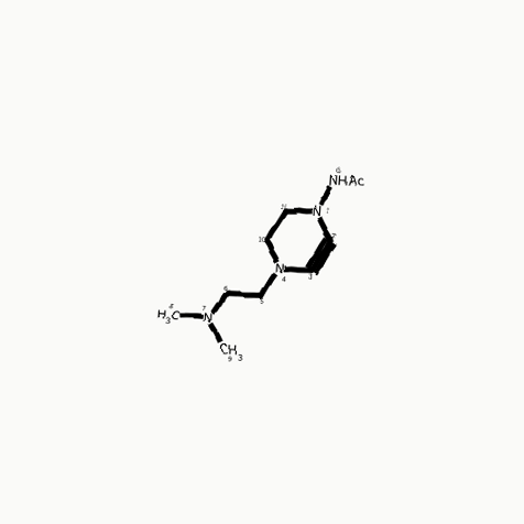 CC(=O)NN1C#CN(CCN(C)C)CC1